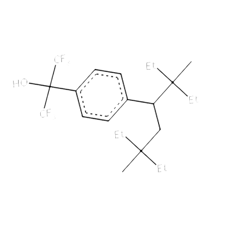 CCC(C)(CC)CC(c1ccc(C(O)(C(F)(F)F)C(F)(F)F)cc1)C(C)(CC)CC